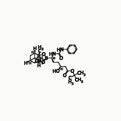 CC(C)(C)OC(=O)C[C@@H](O)CC[C@H](NC(=O)Nc1ccccc1)B1O[C@@H]2C[C@@H]3C[C@@H](C3(C)C)[C@]2(C)O1